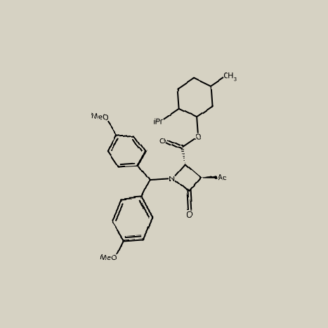 COc1ccc(C(c2ccc(OC)cc2)N2C(=O)[C@H](C(C)=O)[C@H]2C(=O)OC2CC(C)CCC2C(C)C)cc1